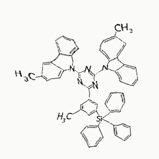 Cc1cc(-c2nc(-n3c4ccccc4c4cc(C)ccc43)nc(-n3c4ccccc4c4cc(C)ccc43)n2)cc([Si](c2ccccc2)(c2ccccc2)c2ccccc2)c1